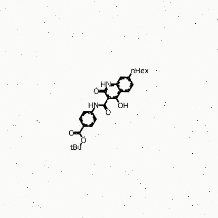 CCCCCCc1ccc2c(O)c(C(=O)Nc3ccc(C(=O)OC(C)(C)C)cc3)c(=O)[nH]c2c1